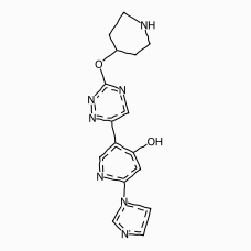 Oc1cc(-n2ccnc2)ncc1-c1cnc(OC2CCNCC2)nn1